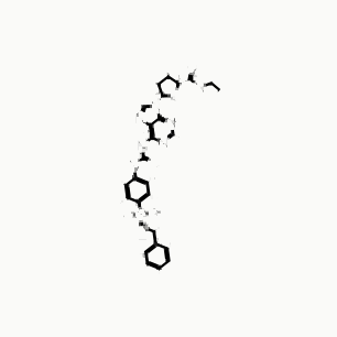 CCNC(=O)[C@@H]1CC[C@H](n2cnc3c(NC(=O)Nc4ccc(S(=O)(=O)NCc5ccccc5)cc4)ncnc32)O1